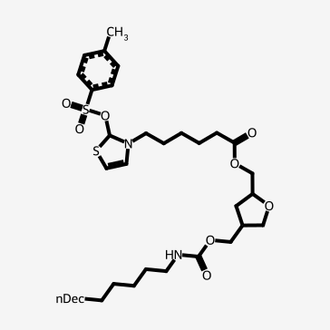 CCCCCCCCCCCCCCCNC(=O)OCC1COC(COC(=O)CCCCCN2C=CSC2OS(=O)(=O)c2ccc(C)cc2)C1